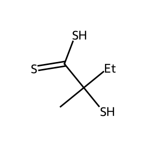 CCC(C)(S)C(=S)S